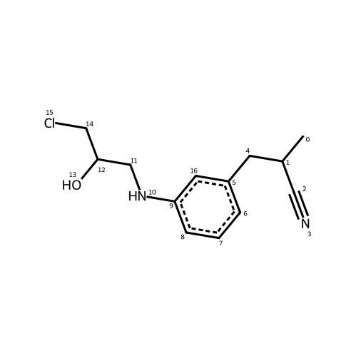 CC(C#N)Cc1cccc(NCC(O)CCl)c1